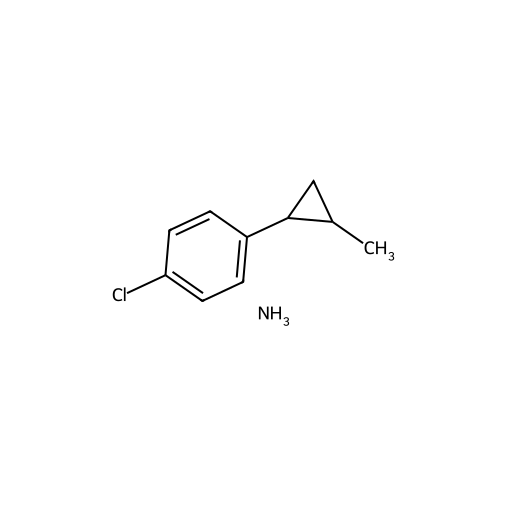 CC1CC1c1ccc(Cl)cc1.N